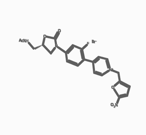 CC(=O)NC[C@H]1CN(c2ccc(-c3cc[n+](Cc4ccc([N+](=O)[O-])o4)cc3)c(F)c2)C(=O)O1.[Br-]